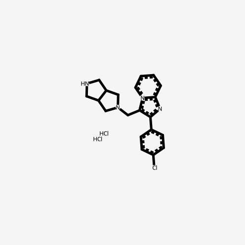 Cl.Cl.Clc1ccc(-c2nc3ccccn3c2CN2CC3CNCC3C2)cc1